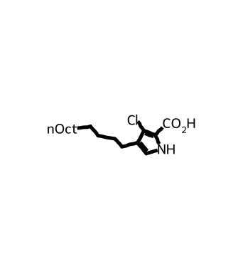 CCCCCCCCCCCCc1c[nH]c(C(=O)O)c1Cl